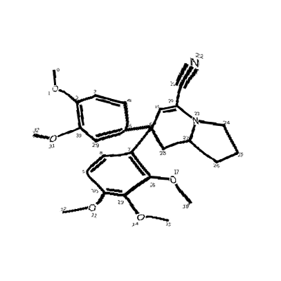 COc1ccc(C2(c3ccc(OC)c(OC)c3OC)C=C(C#N)N3CCCC3C2)cc1OC